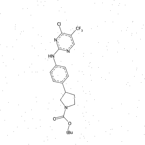 CC(C)(C)OC(=O)N1CCC(c2ccc(Nc3ncc(C(F)(F)F)c(Cl)n3)cc2)C1